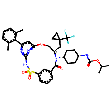 Cc1cccc(C)c1-c1cc2nc(n1)NS(=O)(=O)c1cccc(c1)C(=O)N([C@H]1CC[C@H](NC(=O)OC(C)C)CC1)[C@H](CC1(C(F)(F)F)CC1)CO2